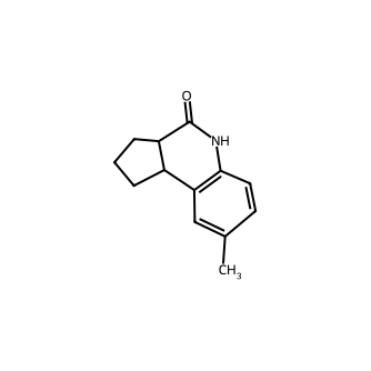 Cc1ccc2c(c1)C1CCCC1C(=O)N2